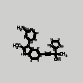 Cc1nc2ccc(C#CC(C)(O)c3nccs3)cc2n1-c1ccnc(N)n1